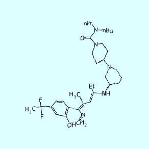 C=N/C(=C(C)\C=C(/CC)NC1CCCN(C2CCN(C(=O)N(CCC)CCCC)CC2)C1)c1ccc(C(C)(F)F)cc1O